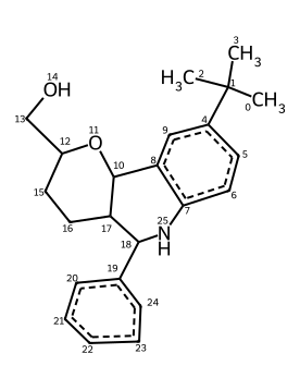 CC(C)(C)c1ccc2c(c1)C1OC(CO)CCC1C(c1ccccc1)N2